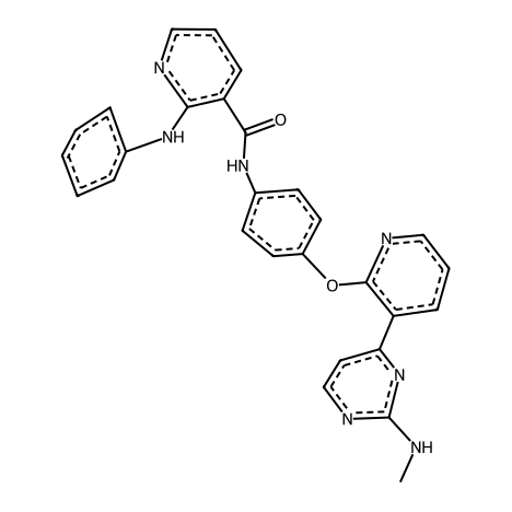 CNc1nccc(-c2cccnc2Oc2ccc(NC(=O)c3cccnc3Nc3ccccc3)cc2)n1